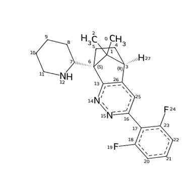 CC1(C)[C@H]2CC[C@]1(C1CCCCN1)c1nnc(-c3c(F)cccc3F)cc12